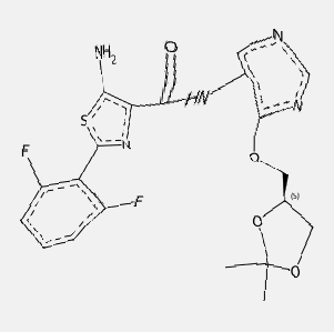 CC1(C)OC[C@H](COc2ncncc2NC(=O)c2nc(-c3c(F)cccc3F)sc2N)O1